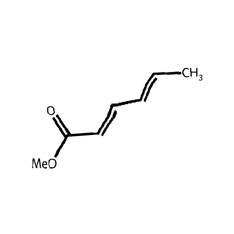 CC=CC=CC(=O)OC